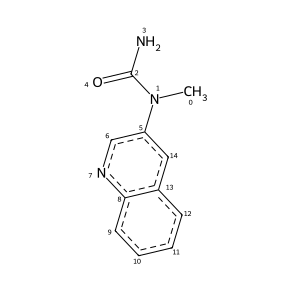 CN(C(N)=O)c1cnc2ccccc2c1